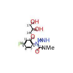 CNC(=O)N(N=N)c1ccc(F)cc1OCC(O)CO